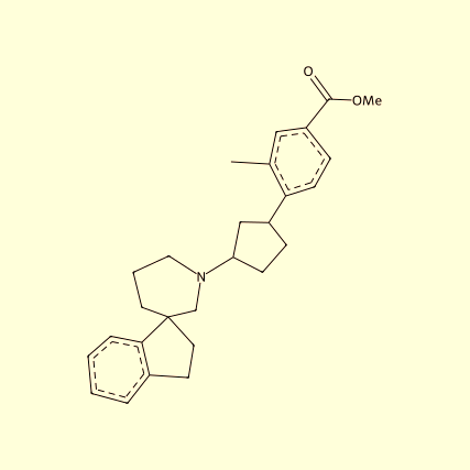 COC(=O)c1ccc(C2CCC(N3CCCC4(CCc5ccccc54)C3)C2)c(C)c1